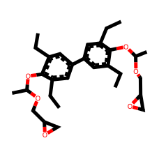 CCc1cc(-c2cc(CC)c(OC(C)OCC3CO3)c(CC)c2)cc(CC)c1OC(C)OCC1CO1